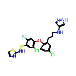 Fc1cc(Oc2ccc(Cl)cc2CCCNc2cn[nH]c2)c(Cl)cc1SNc1nccs1